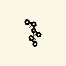 C1=CC2c3ccccc3SC2C(n2c3ccccc3c3cc(-c4cccc5c4sc4ccccc45)ccc32)=C1